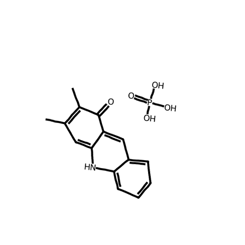 Cc1cc2[nH]c3ccccc3cc-2c(=O)c1C.O=P(O)(O)O